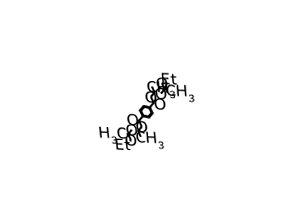 CCOC(C)OC(C)OC(=O)c1ccc(C(=O)OC(C)OC(C)OCC)cc1